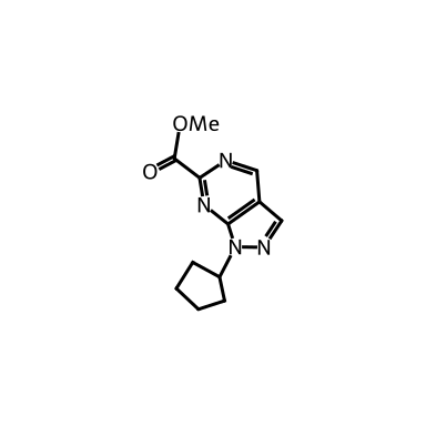 COC(=O)c1ncc2cnn(C3CCCC3)c2n1